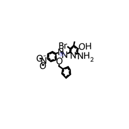 Cc1c(O)c(N)nc(/N=N/c2ccc([N+](=O)[O-])cc2OCc2ccccc2)c1Br